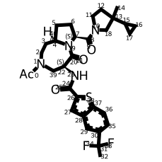 CC(=O)N1CC[C@H]2CC[C@@H](C(=O)N3CCC(C)(C4CC4)C3)N2C(=O)[C@@H](NC(=O)c2cc3cc(C(C)(F)F)ccc3s2)C1